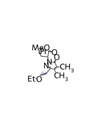 CCO/C=C/c1nn(C(CC(C)C)C(=O)OC)c(=O)c(C)c1C